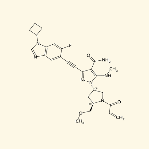 C=CC(=O)N1C[C@@H](n2nc(C#Cc3cc4ncn(C5CCC5)c4cc3F)c(C(N)=O)c2NC)C[C@@H]1COC